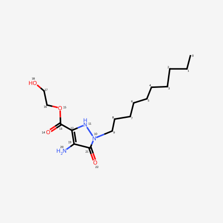 CCCCCCCCCCn1[nH]c(C(=O)OCCO)c(N)c1=O